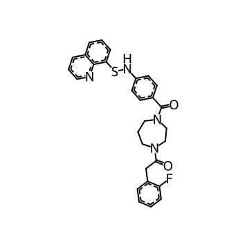 O=C(Cc1ccccc1F)N1CCCN(C(=O)c2ccc(NSc3cccc4cccnc34)cc2)CC1